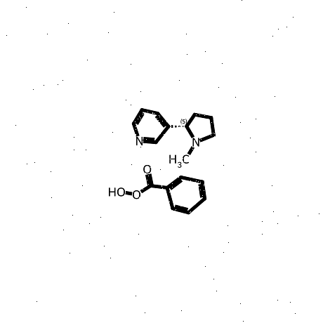 CN1CCC[C@H]1c1cccnc1.O=C(OO)c1ccccc1